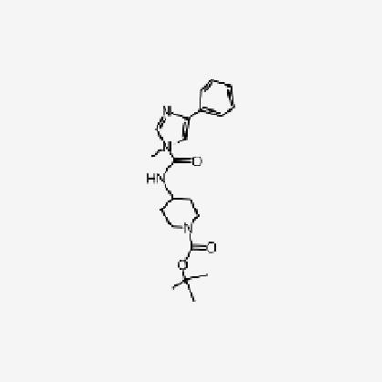 CC(C)(C)OC(=O)N1CCC(NC(=O)[N+]2(C)C=NC(c3ccccc3)=C2)CC1